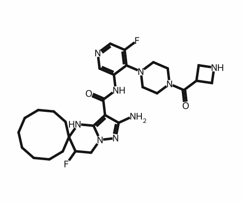 Nc1nn2c(c1C(=O)Nc1cncc(F)c1N1CCN(C(=O)C3CNC3)CC1)NC1(CCCCCCCCC1)C(F)C2